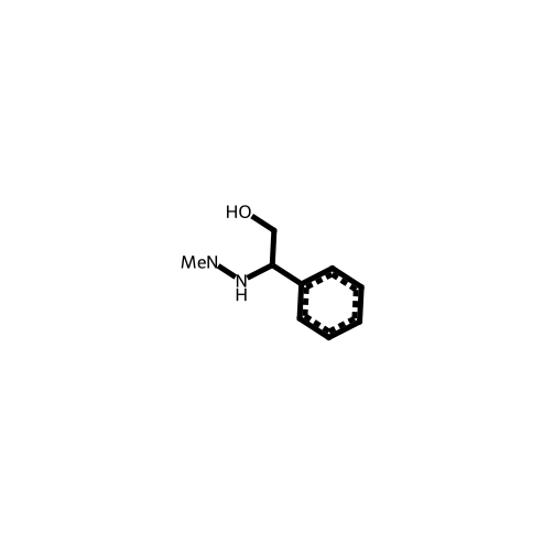 CNNC(CO)c1ccccc1